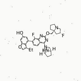 CCc1coc2cc(O)cc(-c3ccc4c(N5C[C@H]6CC[C@@H](C5)N6)nc(OC[C@@]56CCCN5C[C@H](F)C6)nc4c3F)c12